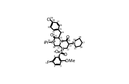 COc1ccc(F)cc1S(=O)(=O)N1CC(N2CCCCC2)C(=O)N2C(Cc3ccc(Cl)cc3)C(=O)N(C(C)C)CC21